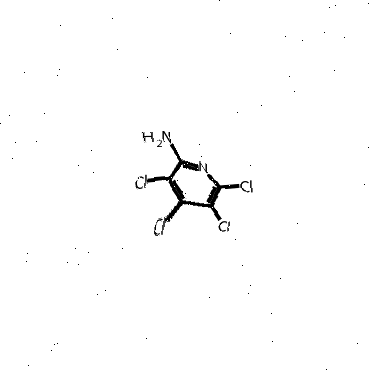 Nc1nc(Cl)c(Cl)c(Cl)c1Cl